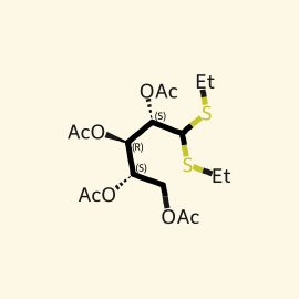 CCSC(SCC)[C@@H](OC(C)=O)[C@H](OC(C)=O)[C@H](COC(C)=O)OC(C)=O